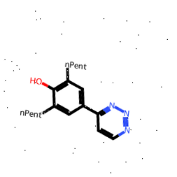 CCCCCc1cc(-c2ccnnn2)cc(CCCCC)c1O